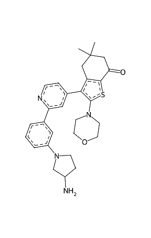 CC1(C)CC(=O)c2sc(N3CCOCC3)c(-c3ccnc(-c4cccc(N5CCC(N)C5)c4)c3)c2C1